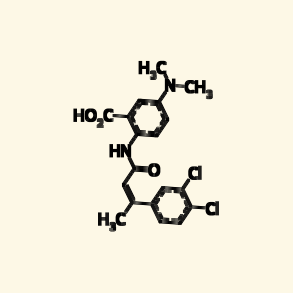 C/C(=C/C(=O)Nc1ccc(N(C)C)cc1C(=O)O)c1ccc(Cl)c(Cl)c1